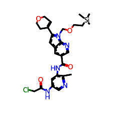 Cc1ncc(NC(=O)CCl)cc1NC(=O)c1cnc2c(c1)cc(C1=CCOCC1)n2COCC[Si](C)(C)C